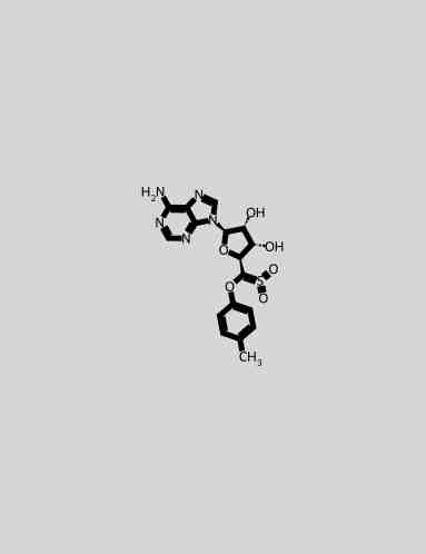 Cc1ccc(OC([C@H]2O[C@@H](n3cnc4c(N)ncnc43)[C@H](O)[C@@H]2O)=S(=O)=O)cc1